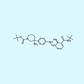 BC1(c2ccc(N/C=C3/C=CC=C(C(=O)NC(C)(C)C)C3=N)cc2)CCCN(C(=O)OC(C)(C)C)C1